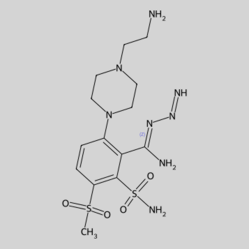 CS(=O)(=O)c1ccc(N2CCN(CCN)CC2)c(/C(N)=N/N=N)c1S(N)(=O)=O